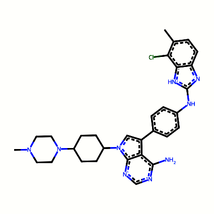 Cc1ccc2nc(Nc3ccc(-c4cn(C5CCC(N6CCN(C)CC6)CC5)c5ncnc(N)c45)cc3)[nH]c2c1Cl